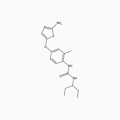 CCC(CC)NC(=O)Nc1ccc(Oc2cnc(N)s2)cc1C